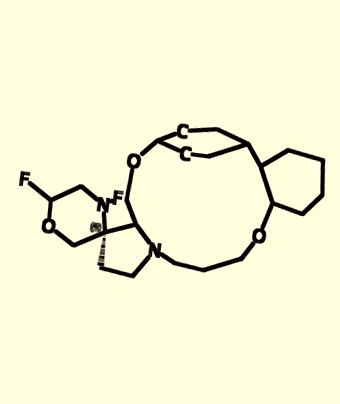 FC1CN(F)[C@]2(CCN3CCCOC4CCCCC4C4CCC(CC4)OCC32)CO1